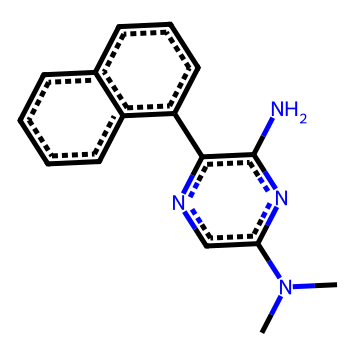 CN(C)c1cnc(-c2cccc3ccccc23)c(N)n1